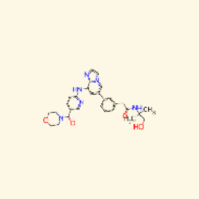 CC(C)(CO)NC(=O)Cc1cccc(-c2cc(Nc3ccc(C(=O)N4CCOCC4)cn3)c3nccn3c2)c1